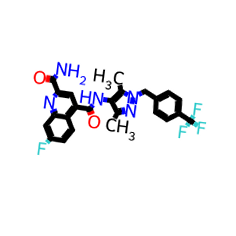 Cc1nn(Cc2ccc(C(F)(F)F)cc2)c(C)c1NC(=O)c1cc(C(N)=O)nc2cc(F)ccc12